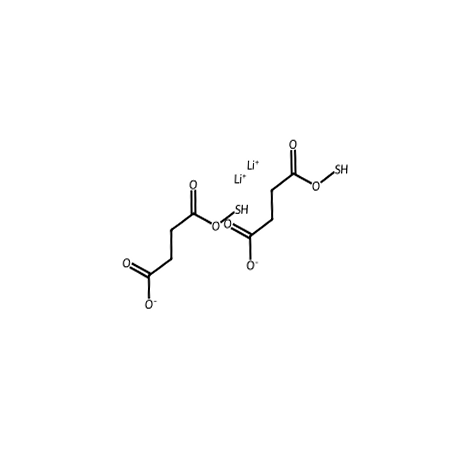 O=C([O-])CCC(=O)OS.O=C([O-])CCC(=O)OS.[Li+].[Li+]